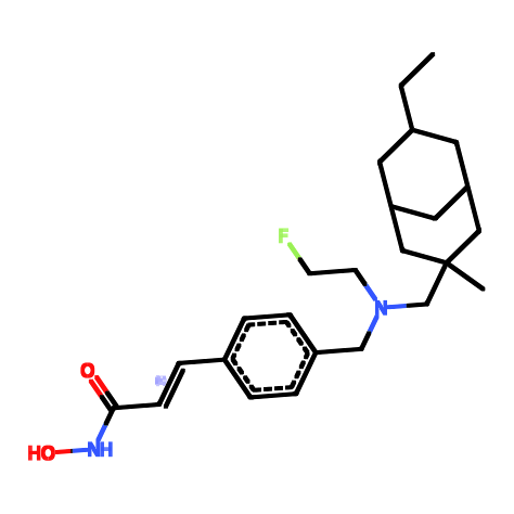 CCC1CC2CC(C1)CC(C)(CN(CCF)Cc1ccc(/C=C/C(=O)NO)cc1)C2